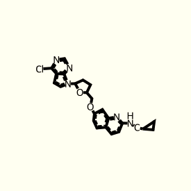 Clc1ncnc2c1ccn2C1CCC(COc2ccc3ccc(NCC4CC4)nc3c2)O1